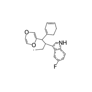 [CH2]CC(c1c[nH]c2ccc(F)cc12)C(C1=CC=CCC1)C1=COC=CO1